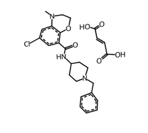 CN1CCOc2c(C(=O)NC3CCN(Cc4ccccc4)CC3)cc(Cl)cc21.O=C(O)C=CC(=O)O